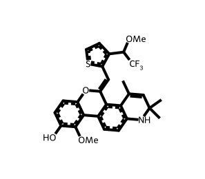 COc1c(O)ccc2c1-c1ccc3c(c1/C(=C/c1sccc1C(OC)C(F)(F)F)O2)C(C)=CC(C)(C)N3